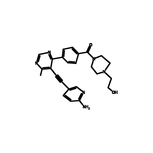 Cc1ncnc(-c2ccc(C(=O)N3CCN(CCO)CC3)cc2)c1C#Cc1ccc(N)nc1